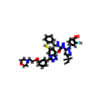 CCC(C)(C)c1cc(NC(=O)NCc2ccccc2Sc2ccc3nnc(-c4cccc(OCCN5CCOCC5)c4)n3c2)n(-c2ccc(O)c(F)c2)n1